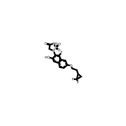 O=C1CN(c2c(O)cc3ccc(OCCC4CC4(F)F)cc3c2F)S(=O)(=O)N1